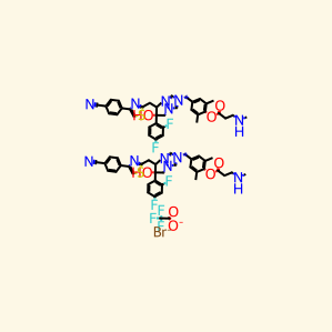 CNCCC(=O)Oc1c(C)cc(C[n+]2cnn(CC(O)(c3ccc(F)cc3F)C(C)Cc3nc(-c4ccc(C#N)cc4)cs3)c2)cc1C.CNCCC(=O)Oc1c(C)cc(C[n+]2cnn(CC(O)(c3ccc(F)cc3F)C(C)Cc3nc(-c4ccc(C#N)cc4)cs3)c2)cc1C.O=C([O-])C(F)(F)F.[Br-]